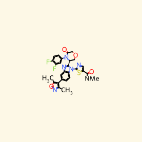 CNC(=O)c1cnc(-n2c([C@@H]3COCC(=O)N3c3ccc(F)c(F)c3)nc3cc(-c4c(C)noc4C)ccc32)s1